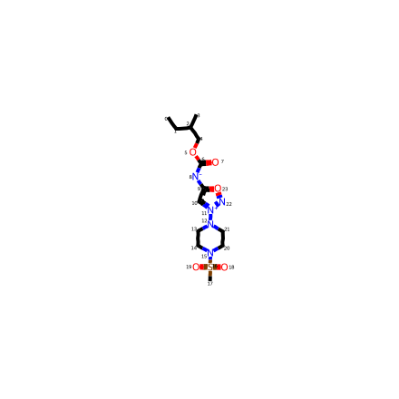 CCC(C)COC(=O)[N-]c1c[n+](N2CCN(S(C)(=O)=O)CC2)no1